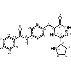 O=C(Nc1ccc(C[C@H](NC(=O)[C@@H]2CCCN2)C(=O)O)cc1)c1cccnc1